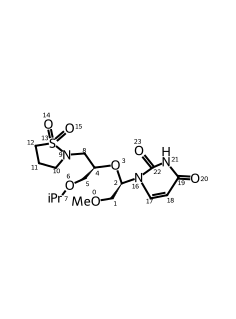 COC[C@@H](O[C@@H](COC(C)C)CN1CCCS1(=O)=O)n1ccc(=O)[nH]c1=O